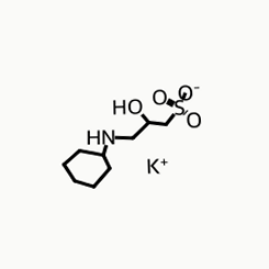 O=S(=O)([O-])CC(O)CNC1CCCCC1.[K+]